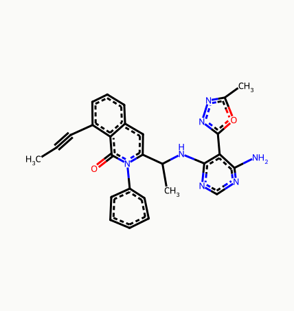 CC#Cc1cccc2cc(C(C)Nc3ncnc(N)c3-c3nnc(C)o3)n(-c3ccccc3)c(=O)c12